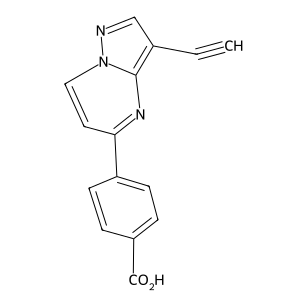 C#Cc1cnn2ccc(-c3ccc(C(=O)O)cc3)nc12